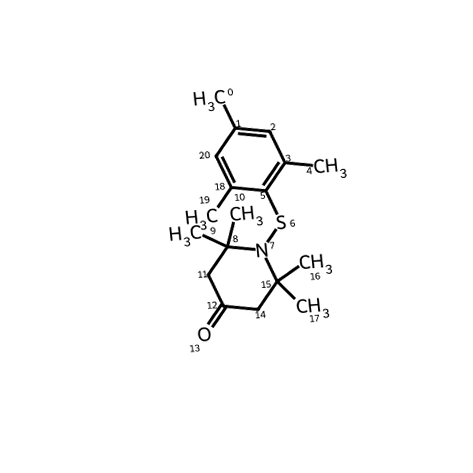 Cc1cc(C)c(SN2C(C)(C)CC(=O)CC2(C)C)c(C)c1